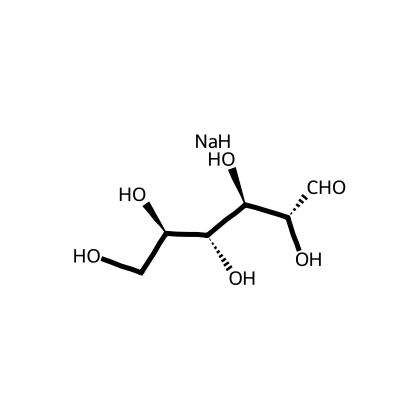 O=C[C@H](O)[C@H](O)[C@H](O)[C@H](O)CO.[NaH]